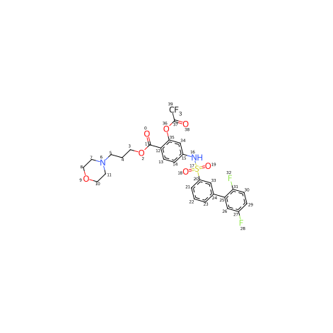 O=C(OCCCN1CCOCC1)c1ccc(NS(=O)(=O)c2cccc(-c3cc(F)ccc3F)c2)cc1OC(=O)C(F)(F)F